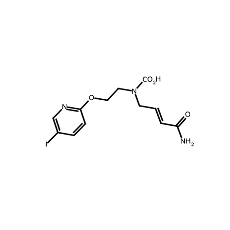 NC(=O)/C=C/CN(CCOc1ccc(I)cn1)C(=O)O